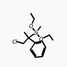 CCO[Si](C)(OCC)C(C)(CCl)c1ccccc1